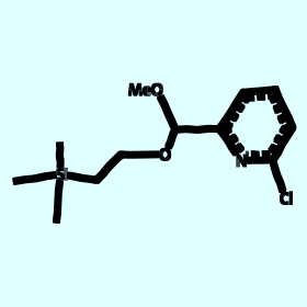 COC(OCC[Si](C)(C)C)c1cccc(Cl)n1